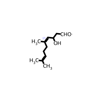 CC(C)=CCC/C(C)=C\C(O)C[C]=O